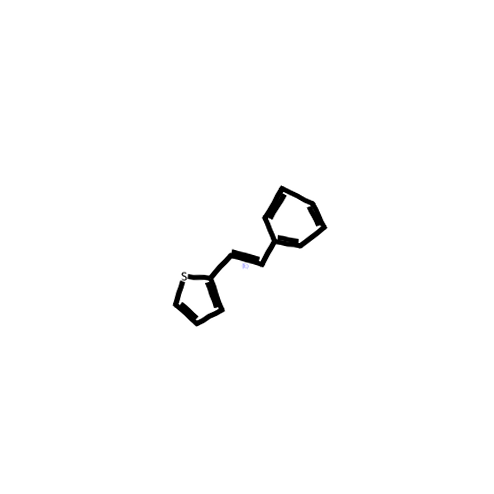 C(=C\c1cccs1)/c1ccccc1